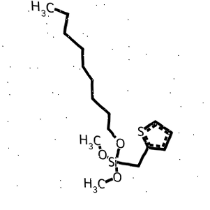 CCCCCCCCCO[Si](Cc1cccs1)(OC)OC